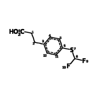 O=C(O)CCc1ccc(SC(F)F)cc1